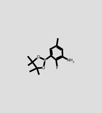 Cc1cc(N)c(F)c(B2OC(C)(C)C(C)(C)O2)c1